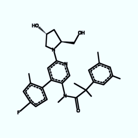 Cc1cc(C)cc(C(C)(C)C(=O)N(C)c2cnc(N3C[C@H](O)C[C@H]3CO)cc2-c2ccc(F)cc2C)c1